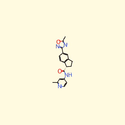 Cc1cc(NC(=O)[C@H]2CCc3cc(-c4noc(C)n4)ccc32)ccn1